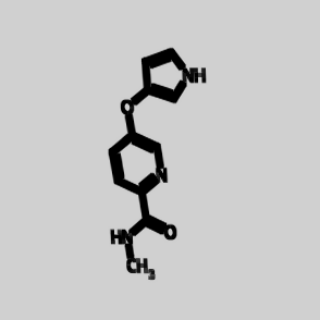 CNC(=O)c1ccc(Oc2cc[nH]c2)cn1